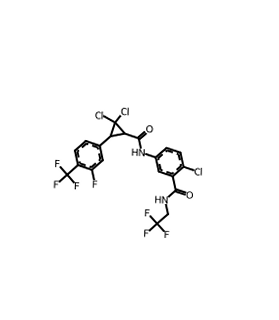 O=C(NCC(F)(F)F)c1cc(NC(=O)C2C(c3ccc(C(F)(F)F)c(F)c3)C2(Cl)Cl)ccc1Cl